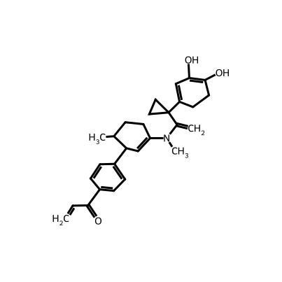 C=CC(=O)c1ccc(C2C=C(N(C)C(=C)C3(C4=CC(O)=C(O)CC4)CC3)CCC2C)cc1